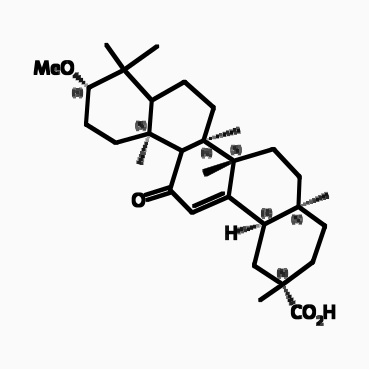 CO[C@H]1CC[C@@]2(C)C(CC[C@]3(C)C2C(=O)C=C2[C@@H]4C[C@@](C)(C(=O)O)CC[C@]4(C)CC[C@]23C)C1(C)C